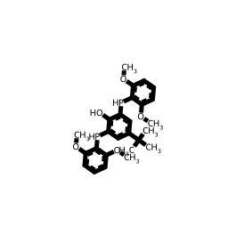 COc1cccc(OC)c1Pc1cc(C(C)(C)C)cc(Pc2c(OC)cccc2OC)c1O